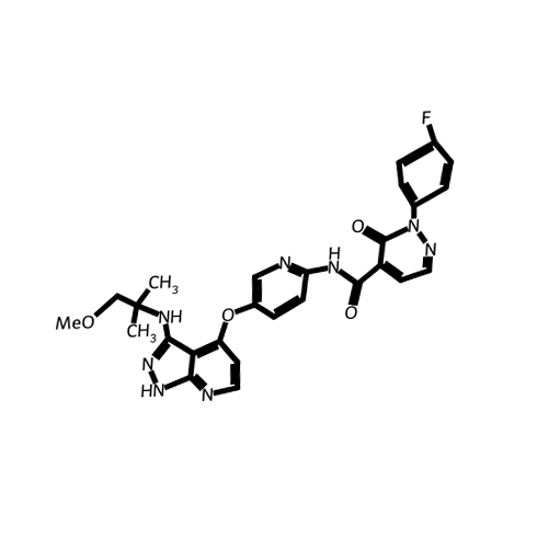 COCC(C)(C)Nc1n[nH]c2nccc(Oc3ccc(NC(=O)c4ccnn(-c5ccc(F)cc5)c4=O)nc3)c12